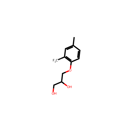 Cc1ccc(OCC(O)CO)c(C(F)(F)F)c1